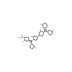 CCC(C)c1ccc(N(c2cccc(C)c2)c2ccc(-c3ccc(N(c4cccc(C)c4)c4cccc(C)c4)c(C)c3)cc2C)cc1C